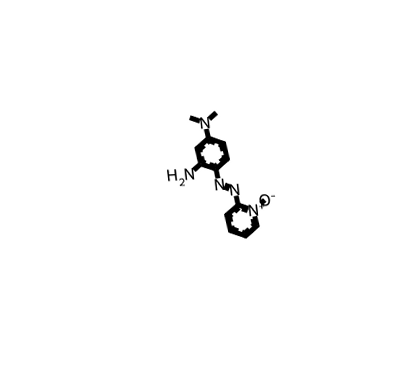 CN(C)c1ccc(N=Nc2cccc[n+]2[O-])c(N)c1